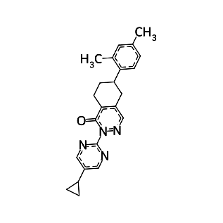 Cc1ccc(C2CCc3c(cnn(-c4ncc(C5CC5)cn4)c3=O)C2)c(C)c1